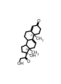 C[C@]12CCC(=O)C=C1CCC1C2=CC[C@@]2(C)C1CC[C@]2(O)C(=O)CO